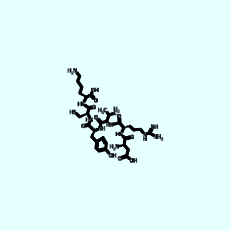 CC(C)[C@H](NC(=O)[C@H](CCCNC(=N)N)NC(=O)[C@H](N)CC(=O)O)C(=O)N[C@@H](Cc1ccc(O)cc1)C(=O)N[C@@H](CS)C(=O)N[C@@H](CCCCN)C(=O)O